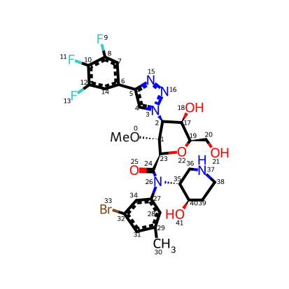 CO[C@@H]1[C@@H](n2cc(-c3cc(F)c(F)c(F)c3)nn2)[C@@H](O)[C@@H](CO)O[C@H]1C(=O)N(c1cc(C)cc(Br)c1)[C@@H]1CNCC[C@H]1O